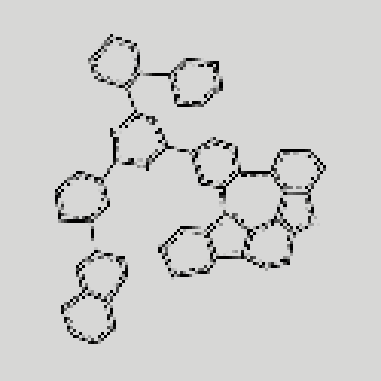 c1ccc(-c2ccccc2-c2nc(-c3cccc(-c4ccc5ccccc5c4)c3)nc(-c3ccc4c5cccc6sc7ccc8c9ccccc9n(c4c3)c8c7c65)n2)cc1